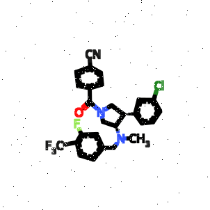 CN(Cc1ccc(C(F)(F)F)c(F)c1)[C@@H]1CN(C(=O)c2ccc(C#N)cc2)C[C@@H]1c1cccc(Cl)c1